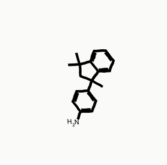 CC1(C)CC(C)(c2ccc(N)cc2)c2ccccc21